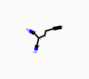 C#CCCC(C#N)C#N